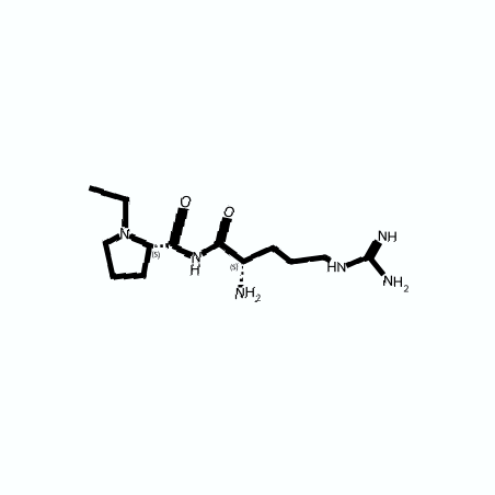 CCN1CCC[C@H]1C(=O)NC(=O)[C@@H](N)CCCNC(=N)N